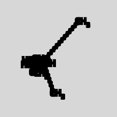 CCCCCCCCCCCCCCCCCCCCCCCCCC(=O)N[C@@H](COC1OC(CNC(C)=O)C(O)C(O)C1O)[C@H](O)[C@H](O)CCCCCCCCCCCCCC